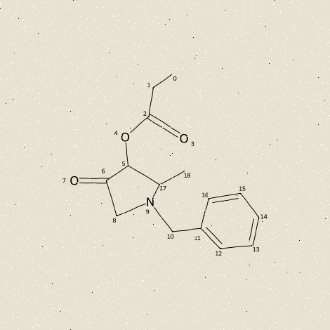 CCC(=O)OC1C(=O)CN(Cc2ccccc2)C1C